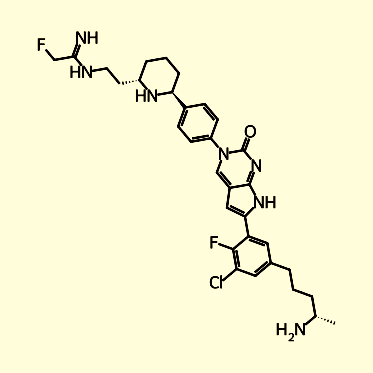 C[C@H](N)CCCc1cc(Cl)c(F)c(-c2cc3cn(-c4ccc([C@@H]5CCC[C@@H](CCNC(=N)CF)N5)cc4)c(=O)nc3[nH]2)c1